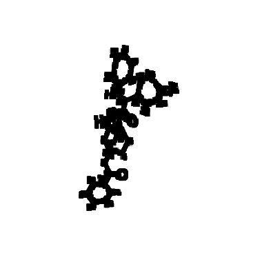 O=C(C[N+]12CCC(CC1)[C@@H](OC(=O)C(Nc1ccccc1)c1ccc(F)cc1)C2)c1ccccc1